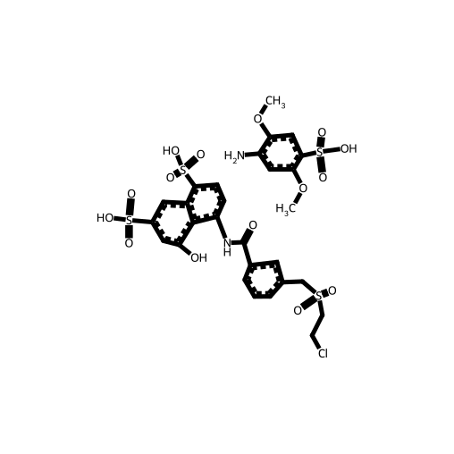 COc1cc(S(=O)(=O)O)c(OC)cc1N.O=C(Nc1ccc(S(=O)(=O)O)c2cc(S(=O)(=O)O)cc(O)c12)c1cccc(CS(=O)(=O)CCCl)c1